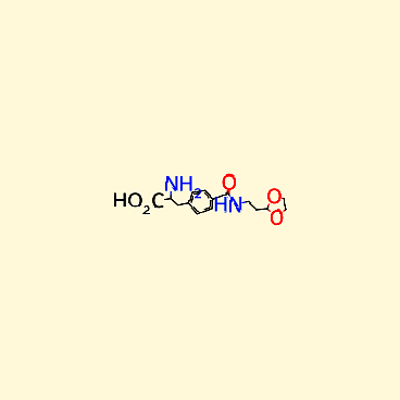 NC(Cc1ccc(C(=O)NCCC2OCCO2)cc1)C(=O)O